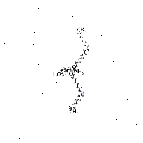 CCCCCCCC/C=C\CCCCCCCCOC(N)C(CN1CCC(O)CC1)OCCCCCCCC/C=C\CCCCCCCC